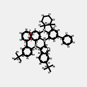 Cc1cc2c3c(c1)N1c4c(cc(-c5ccccc5)cc4C4(C)CCCCC14C)B3c1oc3cc(C(C)(C)C)ccc3c1N2c1ccc(C(C)(C)C)cc1-c1ccccc1